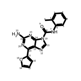 Cc1ccccc1NC(=O)n1cnc2c(-c3ccco3)nc(N)nc21